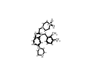 Cc1c(Cn2c(CN3CCS(=O)(=O)CC3)nc3cnc(N4CCOCC4)cc32)cccc1C(F)(F)F